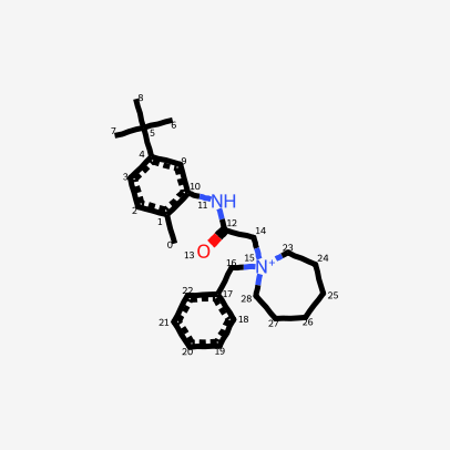 Cc1ccc(C(C)(C)C)cc1NC(=O)C[N+]1(Cc2ccccc2)CCCCCC1